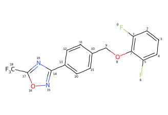 Fc1cccc(F)c1OCc1ccc(-c2noc(C(F)(F)F)n2)cc1